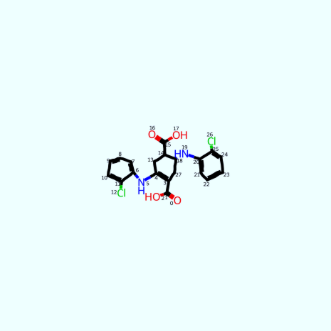 O=C(O)C1=C(Nc2ccccc2Cl)CC(C(=O)O)C(Nc2ccccc2Cl)C1